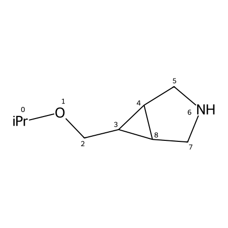 CC(C)OCC1C2CNCC21